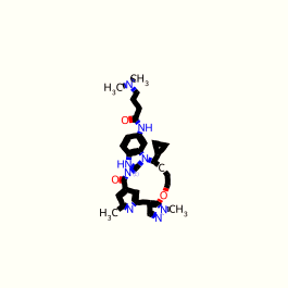 Cc1cc2cc(n1)-c1cnn(C)c1OCCCC(C1CC1)N1/C(=N/C2=O)Nc2ccc(NC(=O)CCCN(C)C)cc21